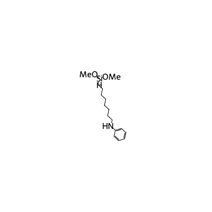 CO[SiH](CCCCCCCCNc1ccccc1)OC